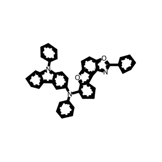 c1ccc(-c2nc3c(ccc4oc5c(N(c6ccccc6)c6ccc7c(c6)c6ccccc6n7-c6ccccc6)cccc5c43)o2)cc1